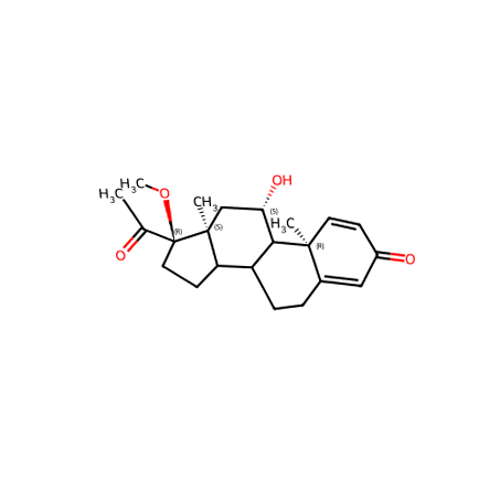 CO[C@]1(C(C)=O)CCC2C3CCC4=CC(=O)C=C[C@]4(C)C3[C@@H](O)C[C@@]21C